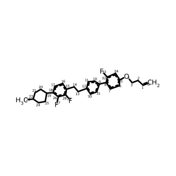 C=CCCOc1ccc(-c2ccc(CCc3ccc(C4CCC(C)CC4)c(F)c3F)cc2)c(F)c1